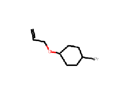 C=CCOC1CCC(C(C)C)CC1